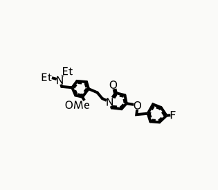 CCN(CC)Cc1ccc(CCn2ccc(OCc3ccc(F)cc3)cc2=O)c(OC)c1